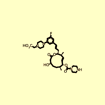 C[C@H]1/C=C/[C@H](OC(=O)N2CCNCC2)[C@@H](C)CC[C@@H](O)CC(=O)O[C@H]1C/C=C/c1cc(F)cc(N2CCN(CC(=O)O)CC2)c1